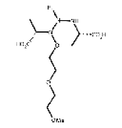 CCN(N[C@@H](C)C(=O)O)N(OCCOCCOC)[C@@H](C)C(=O)O